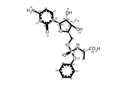 C[C@H](NP(=O)(OC[C@H]1O[C@@H](n2ccc(N)nc2=O)[C@H](O)[C@@]1(C)O)Oc1ccccc1)C(=O)O